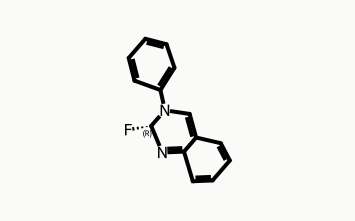 F[C@H]1N=c2ccccc2=CN1c1ccccc1